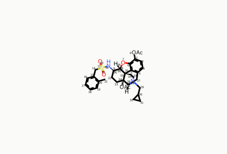 CC(=O)Oc1ccc2c3c1O[C@H]1[C@H](NS(=O)(=O)Cc4ccccc4C)CC[C@@]4(OC(C)=O)[C@@H](C2)N(CC2CC2)CC[C@]314